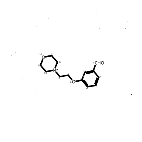 O=Cc1cccc(OCCN2CCOCC2)c1